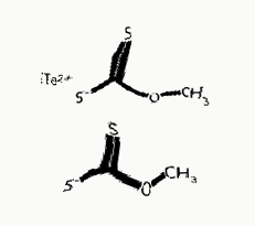 COC(=S)[S-].COC(=S)[S-].[Te+2]